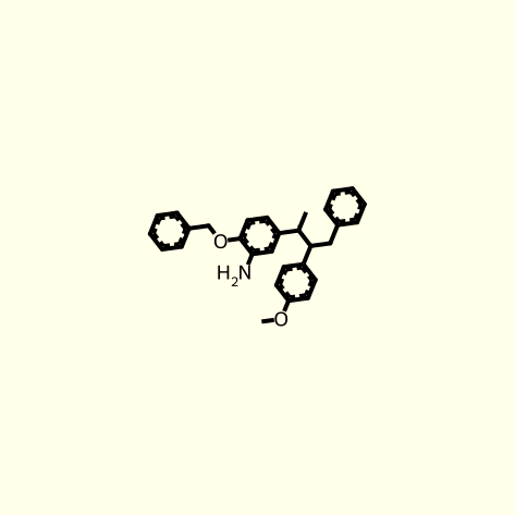 COc1ccc(C(Cc2ccccc2)[C](C)c2ccc(OCc3ccccc3)c(N)c2)cc1